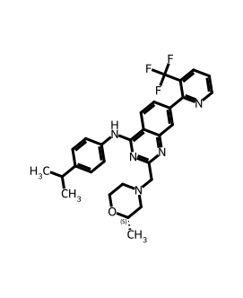 CC(C)c1ccc(Nc2nc(CN3CCO[C@@H](C)C3)nc3cc(-c4ncccc4C(F)(F)F)ccc23)cc1